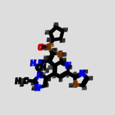 Cc1ncc(-c2cc(-c3nccs3)nc3sc([S+]([O-])C4CCCC4)c(N)c23)n1C